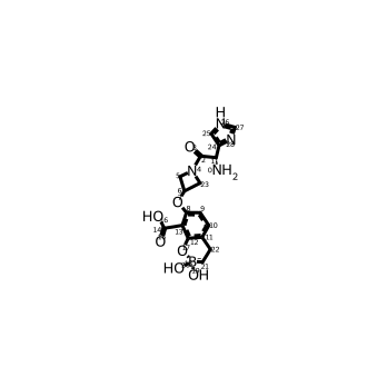 N[C@H](C(=O)N1CC(Oc2ccc3c(c2C(=O)O)O[B-](O)(O)CC3)C1)c1c[nH]cn1